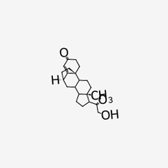 C[C@]12CCC3C(C[C@H]4CC[C@@]35CCC(=O)C=C45)C1CCC2C(=O)CO